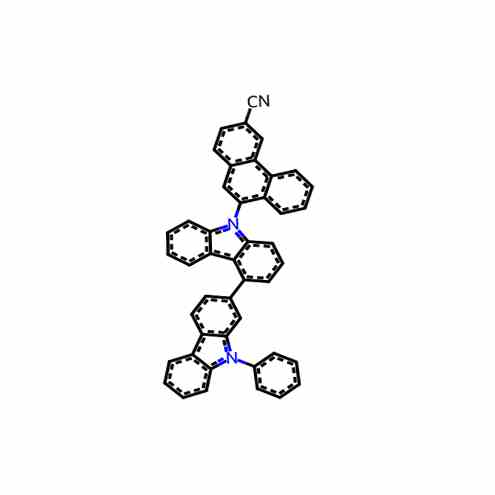 N#Cc1ccc2cc(-n3c4ccccc4c4c(-c5ccc6c7ccccc7n(-c7ccccc7)c6c5)cccc43)c3ccccc3c2c1